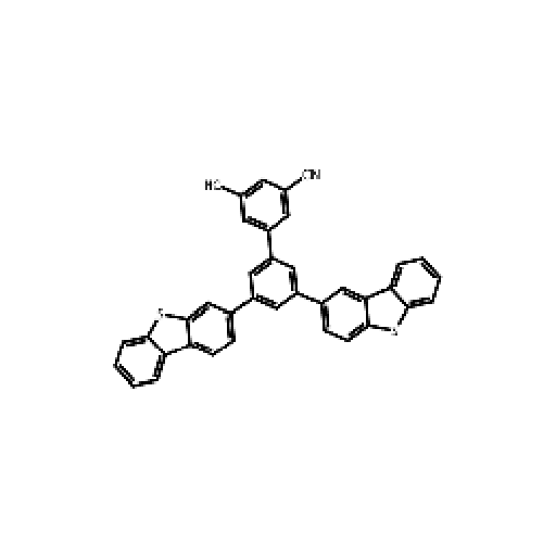 N#Cc1cc(C#N)cc(-c2cc(-c3ccc4c(c3)sc3ccccc34)cc(-c3ccc4sc5ccccc5c4c3)c2)c1